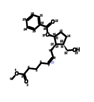 COC(=O)CCC/C=C\C[C@@H]1[C@@H](CO)CC[C@@H]1OC(=O)c1ccccc1